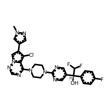 Cn1cc(-c2cn3ncnc(N4CCN(c5ncc([C@@](O)(c6ccc(F)cc6)C(F)F)cn5)CC4)c3c2Cl)cn1